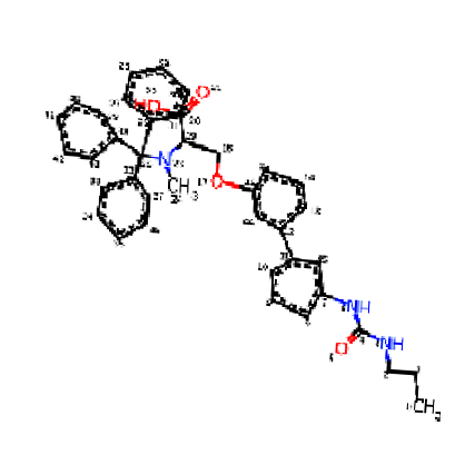 CCCNC(=O)Nc1cccc(-c2cccc(OCC(C(=O)O)N(C)C(c3ccccc3)(c3ccccc3)c3ccccc3)c2)c1